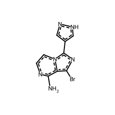 Nc1nccn2c(-c3cn[nH]c3)nc(Br)c12